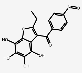 CCc1oc2c(O)c(O)c(O)c(O)c2c1C(=O)c1ccc(N=O)cc1